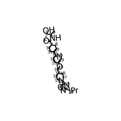 CC(CO)NC(=O)C1CC=C(c2ccc(OCC3CCN(c4nc(C(C)C)no4)CC3)cn2)CC1